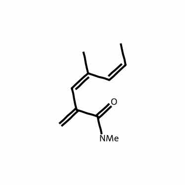 C=C(/C=C(C)\C=C/C)C(=O)NC